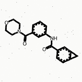 O=C(Nc1c[c]cc(C(=O)N2CCOCC2)c1)c1ccc2c(c1)C2